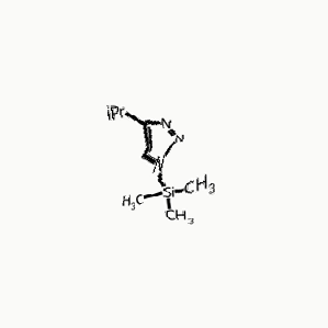 CC(C)c1cn([Si](C)(C)C)nn1